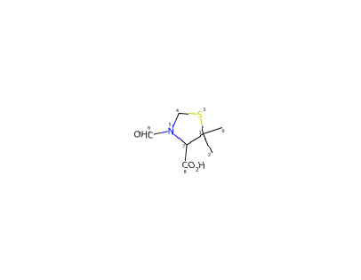 CC1(C)SCN(C=O)C1C(=O)O